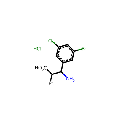 CCC(C(=O)O)C(N)c1cc(Cl)cc(Br)c1.Cl